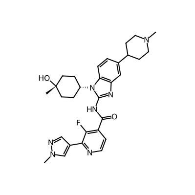 CN1CCC(c2ccc3c(c2)nc(NC(=O)c2ccnc(-c4cnn(C)c4)c2F)n3[C@H]2CC[C@@](C)(O)CC2)CC1